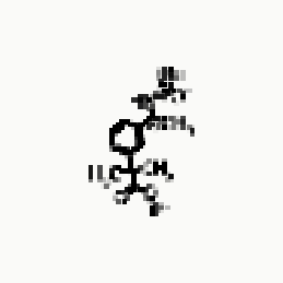 CC(C)OC(=O)C(C)(C)c1cccc([C@H](C)N[S@+]([O-])C(C)(C)C)c1